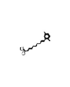 Cc1ccc(C)c(C=CCCCCCCCC(=O)Cl)c1